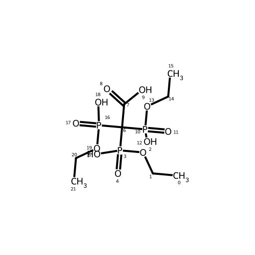 CCOP(=O)(O)C(C(=O)O)(P(=O)(O)OCC)P(=O)(O)OCC